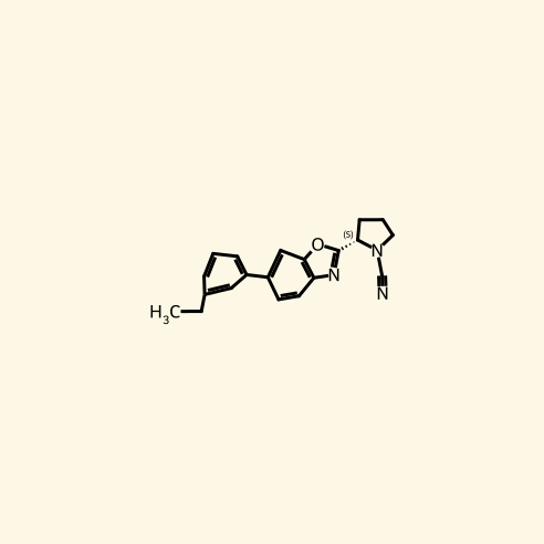 CCc1cccc(-c2ccc3nc([C@@H]4CCCN4C#N)oc3c2)c1